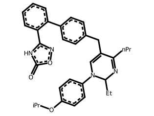 CCCC1=NC(CC)N(c2ccc(OC(C)C)cc2)C=C1Cc1ccc(-c2ccccc2-c2noc(=O)[nH]2)cc1